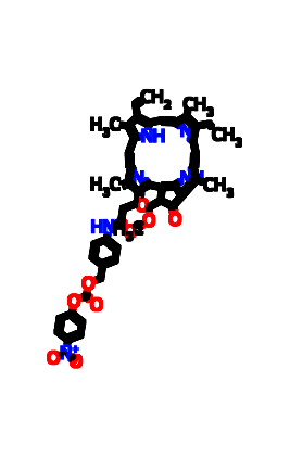 C=Cc1c(C)c2cc3nc(c4c5[nH]c(cc6nc(cc1[nH]2)C(C)=C6CC)c(C)c5C(=O)C4C(=O)OC)[C@@H](CCC(=O)Nc1ccc(COC(=O)Oc2ccc([N+](=O)[O-])cc2)cc1)[C@@H]3C